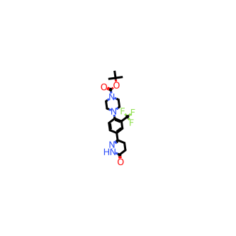 CC(C)(C)OC(=O)N1CCN(c2ccc(C3=NNC(=O)CC3)cc2C(F)(F)F)CC1